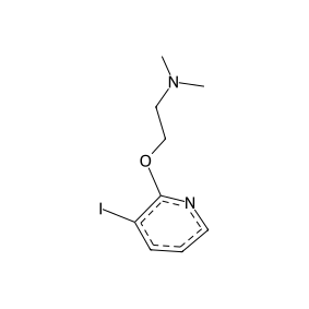 CN(C)CCOc1ncccc1I